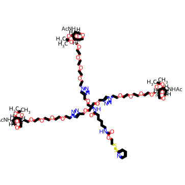 CC(=O)N[C@H]1[C@H]2OC[C@](CCOCCOCCOCCOCCn3cc(COCC(COCc4cn(CCOCCOCCOCCOC[C@@]56CO[C@@H](O5)[C@H](NC(C)=O)[C@H]5OC(C)(C)O[C@H]56)nn4)(COCc4cn(CCOCCOCCOCCOC[C@@]56CO[C@@H](O5)[C@H](NC(C)=O)[C@H]5OC(C)(C)O[C@H]56)nn4)NC(=O)CCCCCNC(=O)OCCSSc4ccccn4)nn3)(O2)[C@@H]2OC(C)(C)O[C@H]12